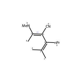 CCCC(=C(C)C)/C(C#N)=C(\C)NC